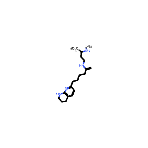 C=C(CCCCc1ccc2c(n1)NCCC2)NCCC(NCCCC)C(=O)O